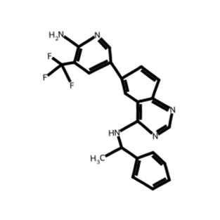 CC(Nc1ncnc2ccc(-c3cnc(N)c(C(F)(F)F)c3)cc12)c1ccccc1